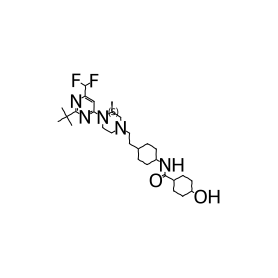 C[C@H]1CN(CCC2CCC(NC(=O)C3CCC(O)CC3)CC2)CCN1c1cc(C(F)F)nc(C(C)(C)C)n1